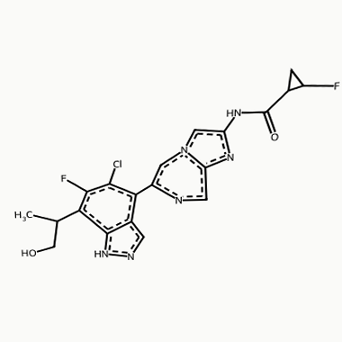 CC(CO)c1c(F)c(Cl)c(-c2cn3cc(NC(=O)C4CC4F)nc3cn2)c2cn[nH]c12